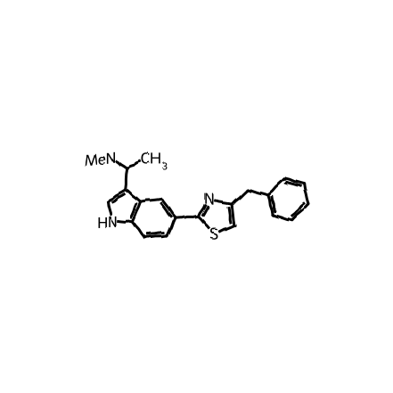 CNC(C)c1c[nH]c2ccc(-c3nc(Cc4ccccc4)cs3)cc12